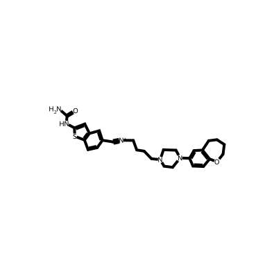 NC(=O)Nc1cc2cc(C#[N+]CCCCN3CCN(c4ccc5c(c4)CCCCO5)CC3)ccc2s1